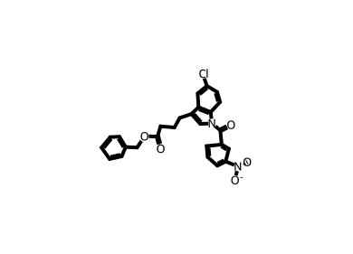 O=C(CCCc1cn(C(=O)c2cccc([N+](=O)[O-])c2)c2ccc(Cl)cc12)OCc1ccccc1